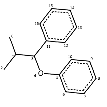 CC(C)C(Oc1ccccc1)c1ccccc1